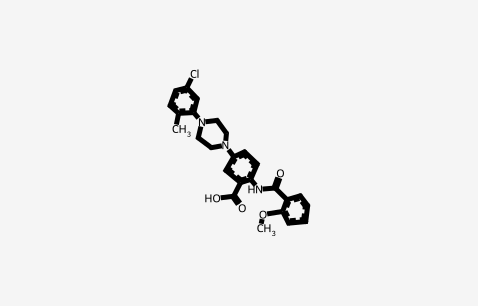 COc1ccccc1C(=O)Nc1ccc(N2CCN(c3cc(Cl)ccc3C)CC2)cc1C(=O)O